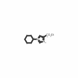 CCOC(=O)c1cn(C2CCCCC2)cn1